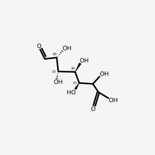 O=C[C@H](O)[C@@H](O)[C@@H](O)[C@H](O)C(O)C(=O)O